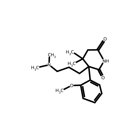 COc1ccccc1C1(CCCN(C)C)C(=O)NC(=O)CC1(C)C